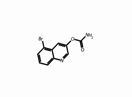 NC(=O)Oc1cnc2cccc(Br)c2c1